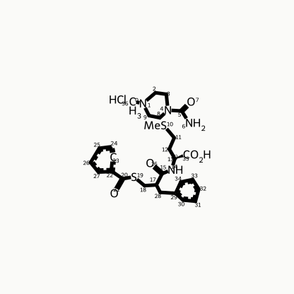 CN1CCN(C(N)=O)CC1.CSCC[C@H](NC(=O)C(CSC(=O)c1ccccc1)Cc1ccccc1)C(=O)O.Cl